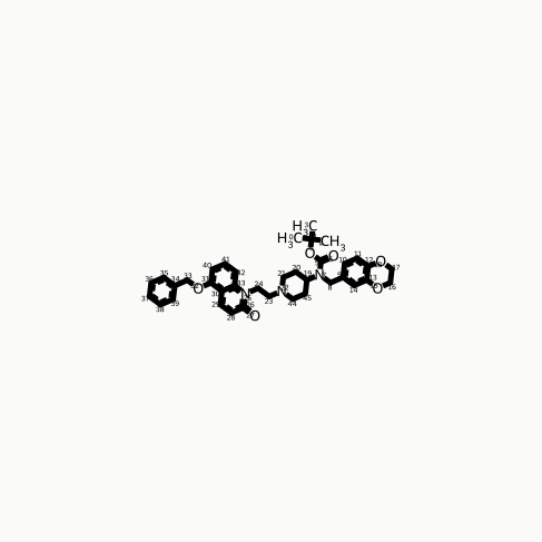 CC(C)(C)OC(=O)N(Cc1ccc2c(c1)OCCO2)C1CCN(CCn2c(=O)ccc3c(OCc4ccccc4)cccc32)CC1